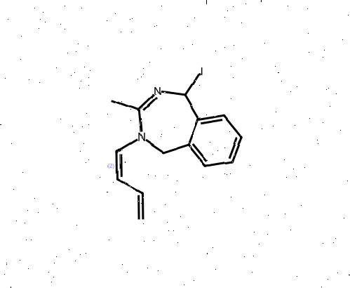 C=C/C=C\N1Cc2ccccc2C(I)N=C1C